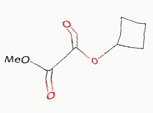 COC(=O)C(=O)OC1CCC1